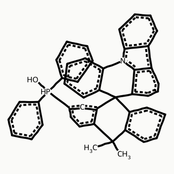 CC1(C)c2ccccc2C2(c3ccccc3-n3c4ccccc4c4cccc2c43)c2cc([PH](O)(c3ccccc3)c3ccccc3)ccc21